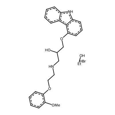 Br.CCO.COc1ccccc1OCCNCC(O)COc1cccc2[nH]c3ccccc3c12